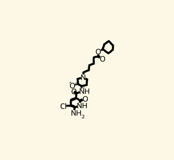 CO[C@H]1CN(CCCCCC(=O)OC2CCCCC2)CC[C@H]1NC(=O)c1cc(Cl)c(N)[nH]c1=O